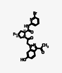 CC(=O)c1nn(CC(=O)N2C[C@H](F)C[C@H]2C(=O)Nc2cccc(Br)n2)c2cc(O)ccc12